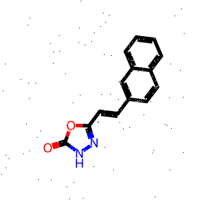 O=c1[nH]nc(C=Cc2ccc3ccccc3c2)o1